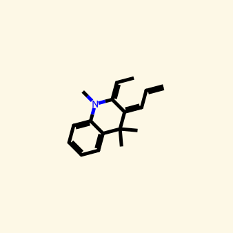 C=C/C=C1\C(=C/C)N(C)c2ccccc2C1(C)C